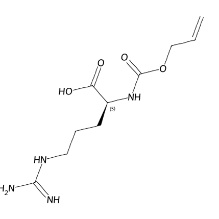 C=CCOC(=O)N[C@@H](CCCNC(=N)N)C(=O)O